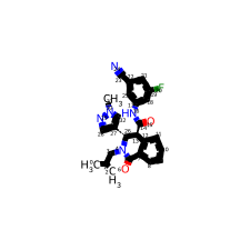 CC(C)CN1C(=O)c2ccccc2[C@H](C(=O)Nc2cc(F)cc(C#N)c2)[C@H]1c1cnn(C)c1